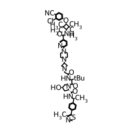 Cc1ncsc1-c1ccc([C@H](C)NC(=O)[C@@H]2C[C@@H](O)CN2C(=O)C(NC(=O)CN2CC(N3CCN(c4ccc(C(=O)NC5C(C)(C)C(Oc6ccc(C#N)c(Cl)c6)C5(C)C)cn4)CC3)C2)C(C)(C)C)cc1